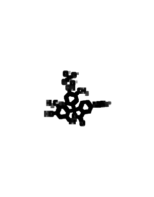 Cc1cc(C2(c3cc(C)c(O)cc3C(C)C)OC(=O)c3ccccc32)c(C(C)C)cc1O.O=P([O-])([O-])[O-].[Na+].[Na+].[Na+]